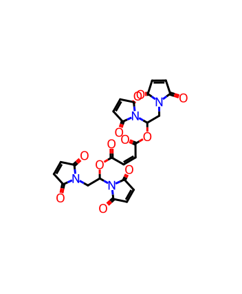 O=C(/C=C\C(=O)OC(CN1C(=O)C=CC1=O)N1C(=O)C=CC1=O)OC(CN1C(=O)C=CC1=O)N1C(=O)C=CC1=O